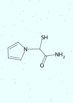 NC(=O)C(S)n1cccc1